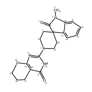 CN1C(=O)C2(CCN(c3nc4c(c(=O)[nH]3)CCCO4)CC2)c2ccccc21